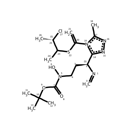 C=N[C@@H](CCN(O)C(=O)OC(C)(C)C)c1nnc(C)n1C(=C)SC(C)[C@H](C)Cl